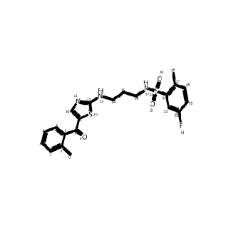 Cc1ccccc1C(=O)c1cnc(NCCCNS(=O)(=O)c2cc(F)ccc2C)s1